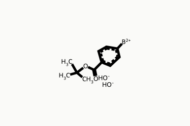 [B+2]c1ccc(C(=O)OC(C)(C)C)cc1.[OH-].[OH-]